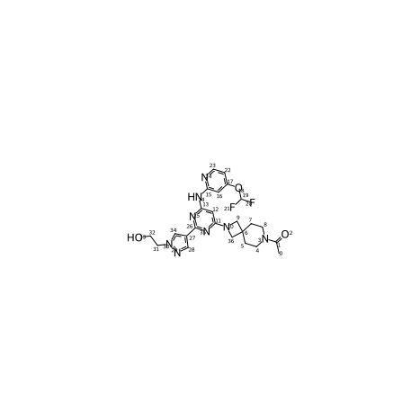 CC(=O)N1CCC2(CC1)CN(c1cc(Nc3cc(OC(F)F)ccn3)nc(-c3cnn(CCO)c3)n1)C2